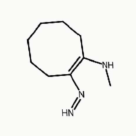 CN/C1=C(\N=N)CCCCCC1